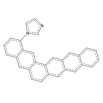 [c]1nccn1-c1cccc2cc3ccc4cc5cc6ccccc6cc5cc4c3cc12